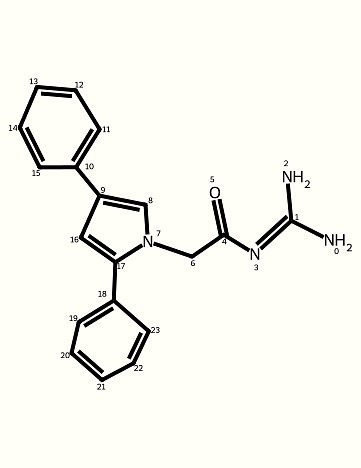 NC(N)=NC(=O)Cn1cc(-c2ccccc2)cc1-c1ccccc1